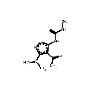 CNC(=O)Nc1snc(N(C)C)c1C(N)=O